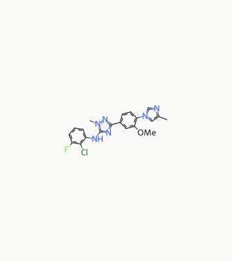 COc1cc(-c2nc(Nc3cccc(F)c3Cl)n(C)n2)ccc1-n1cnc(C)c1